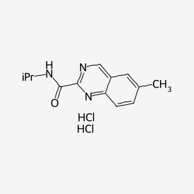 Cc1ccc2nc(C(=O)NC(C)C)ncc2c1.Cl.Cl